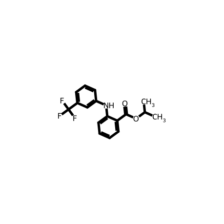 CC(C)OC(=O)c1ccccc1Nc1cccc(C(F)(F)F)c1